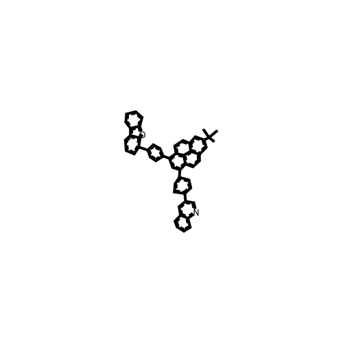 CC(C)(C)c1cc2ccc3c(-c4ccc(-c5cnc6ccccc6c5)cc4)cc(-c4ccc(-c5cccc6c5oc5ccccc56)cc4)c4ccc(c1)c2c34